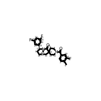 Cc1ccc(C(=O)N2CCC3(CC2)CN2CC[C@@H](c4cc(F)cc(F)c4)N2C3=O)cc1F